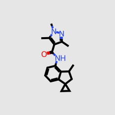 Cc1nn(C)c(C)c1C(=O)Nc1cccc2c1C(C)CC21CC1